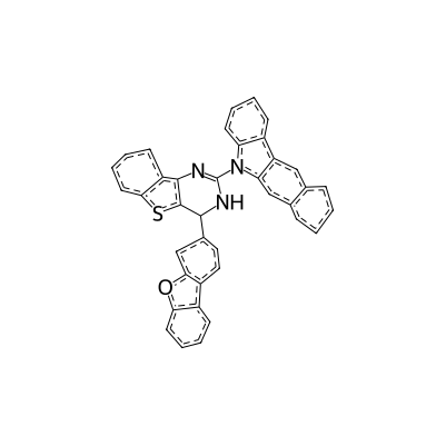 c1ccc2cc3c(cc2c1)c1ccccc1n3C1=Nc2c(sc3ccccc23)C(c2ccc3c(c2)oc2ccccc23)N1